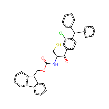 O=C(N[C@@H](CS)C(=O)c1ccc([C](c2ccccc2)c2ccccc2)c(Cl)c1)OCC1c2ccccc2-c2ccccc21